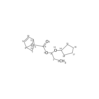 CCC(OC(=O)C1CC2C=CC1O2)OC1CCCC1